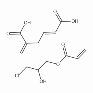 C=C(CC=CC(=O)O)C(=O)O.C=CC(=O)OCC(O)CCl